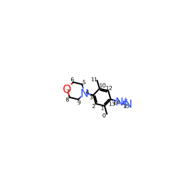 Cc1cc(N2CCOCC2)c(C)cc1[N+]#N